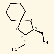 OC[C@@H]1OC2(CCCCC2)O[C@H]1CO